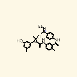 C=C(Nc1ccc(/C(C)=N/CC)cc1)c1cc(NC(=C)C2C(c3cc(C)cc(O)c3)C2(C)Cl)ccc1C